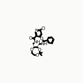 CC1(C)OCCO[C@H](CNC(=O)c2ccc(Cl)nc2)[C@H](CNC(=O)c2ccccc2)O1